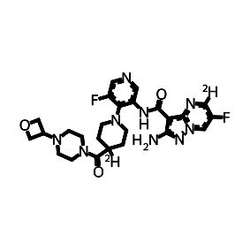 [2H]c1nc2c(C(=O)Nc3cncc(F)c3N3CCC([2H])(C(=O)N4CCN(C5COC5)CC4)CC3)c(N)nn2cc1F